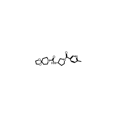 Cc1ccc(C(=O)N2CC[C@@H](NC(=O)N3CCC4(CC3)OCCO4)C2)cn1